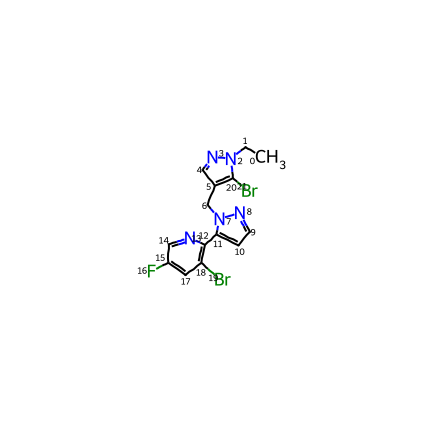 CCn1ncc(Cn2nccc2-c2ncc(F)cc2Br)c1Br